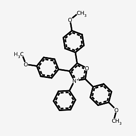 COc1ccc(-c2oc(-c3ccc(OC)cc3)[n+](-c3ccccc3)c2-c2ccc(OC)cc2)cc1